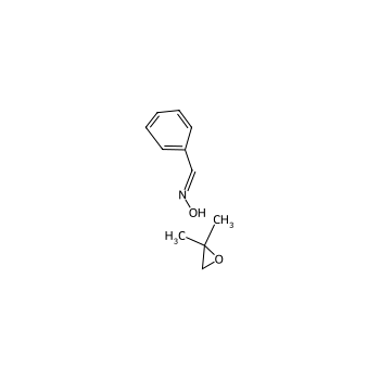 CC1(C)CO1.ON=Cc1ccccc1